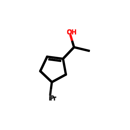 CC(O)C1=CCC(C(C)C)C1